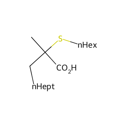 CCCCCCCCC(C)(SCCCCCC)C(=O)O